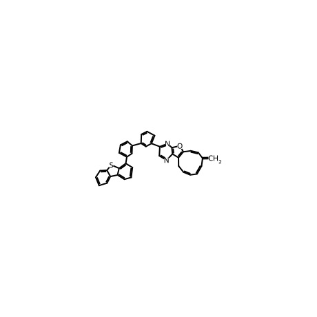 C=C1/C=C\C=C/Cc2c(oc3nc(-c4cccc(-c5cccc(-c6cccc7c6sc6ccccc67)c5)c4)cnc23)/C=C\1